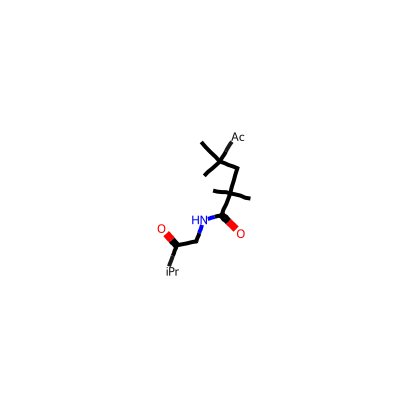 CC(=O)C(C)(C)CC(C)(C)C(=O)NCC(=O)C(C)C